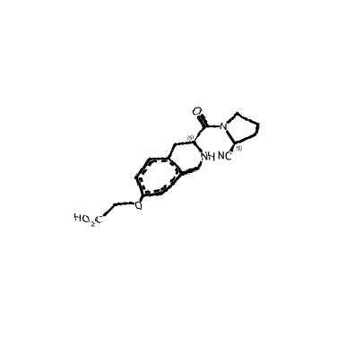 N#C[C@@H]1CCCN1C(=O)[C@@H]1Cc2ccc(OCC(=O)O)cc2CN1